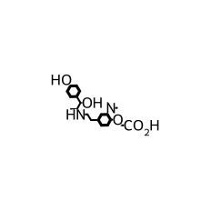 C[C@H](NCCc1ccc(OCC(=O)O)c(N(C)C)c1)[C@@H](O)c1ccc(O)cc1